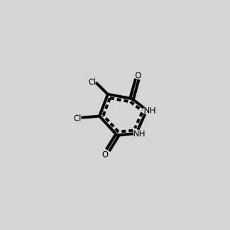 O=c1[nH][nH]c(=O)c(Cl)c1Cl